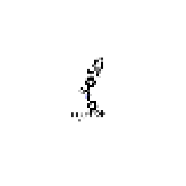 COc1cc(/C=C/C(=O)c2ccc(S(=O)(=O)N3CCOCC3)cc2)ccc1O